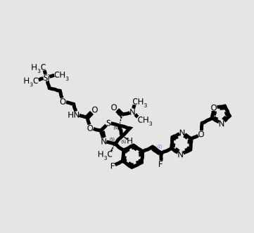 CN(C)C(=O)[C@]12C[C@H]1[C@@](C)(c1cc(/C=C(\F)c3cnc(OCc4ncco4)cn3)ccc1F)N=C(OC(=O)NCOCC[Si](C)(C)C)S2